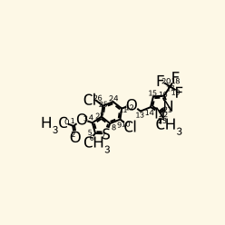 CC(=O)Oc1c(C)sc2c(Cl)c(OCc3cc(C(F)(F)F)nn3C)cc(Cl)c12